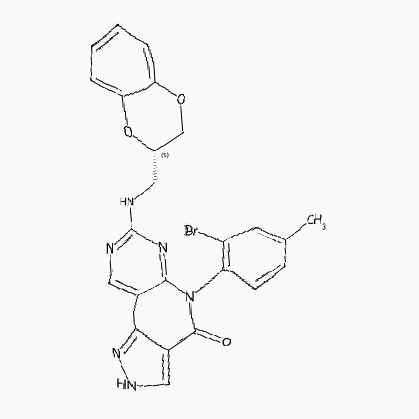 Cc1ccc(-n2c(=O)c3c[nH]nc3c3cnc(NC[C@H]4COc5ccccc5O4)nc32)c(Br)c1